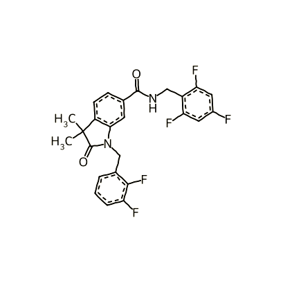 CC1(C)C(=O)N(Cc2cccc(F)c2F)c2cc(C(=O)NCc3c(F)cc(F)cc3F)ccc21